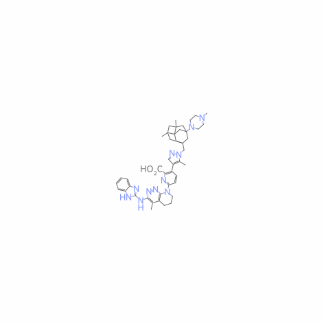 Cc1c(Nc2nc3ccccc3[nH]2)nnc2c1CCCN2c1ccc(-c2cnn(CC34CC5(N6CCN(C)CC6)CC6(C)CC(C)(C3)C6(C4)C5)c2C)c(C(=O)O)n1